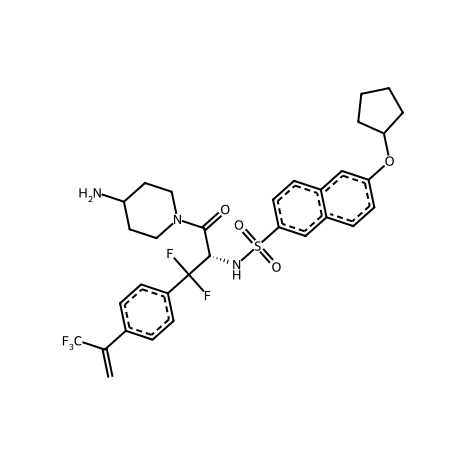 C=C(c1ccc(C(F)(F)[C@@H](NS(=O)(=O)c2ccc3cc(OC4CCCC4)ccc3c2)C(=O)N2CCC(N)CC2)cc1)C(F)(F)F